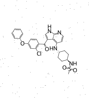 CS(=O)(=O)N[C@H]1CC[C@H](Nc2ccnc3[nH]cc(C(=O)c4ccc(Oc5ccccc5)cc4Cl)c23)CC1